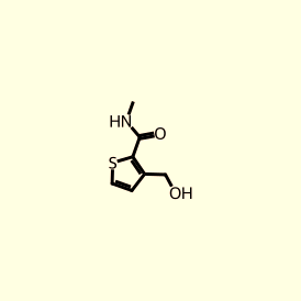 CNC(=O)c1sccc1CO